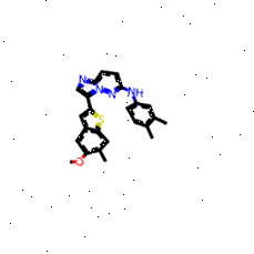 COc1cc2cc(-c3cnc4ccc(Nc5ccc(C)c(C)c5)nn34)sc2cc1C